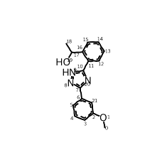 COc1cccc(-c2n[nH]c(-c3ccccc3C(C)O)n2)c1